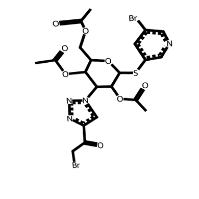 CC(=O)OCC1OC(Sc2cncc(Br)c2)C(OC(C)=O)C(n2cc(C(=O)CBr)nn2)C1OC(C)=O